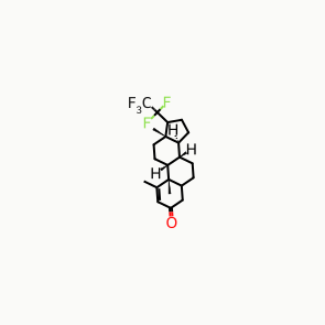 CC1=CC(=O)CC2CC[C@@H]3[C@@H](CC[C@]4(C)C(C(F)(F)C(F)(F)F)CC[C@@H]34)[C@@]12C